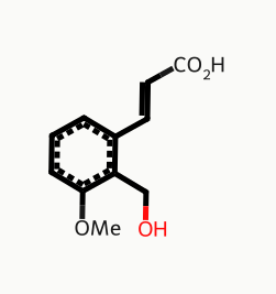 COc1cccc(/C=C/C(=O)O)c1CO